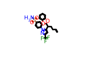 C=CCCC(c1cc(C(F)(F)F)nn1-c1ccc(S(N)(=O)=O)cc1)C1Oc2ccccc2O1